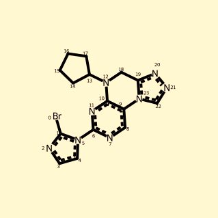 Brc1nccn1-c1ncc2c(n1)N(C1CCCC1)Cc1nncn1-2